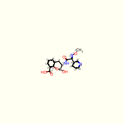 CO/N=C(/C(=O)N[C@H]1Cc2cccc(C(=O)O)c2OB1O)c1cccnc1